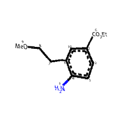 CCOC(=O)c1ccc(N)c(CCOC)c1